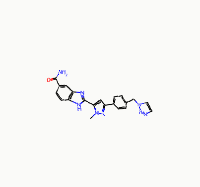 Cn1nc(-c2ccc(Cn3ccnn3)cc2)cc1-c1nc2cc(C(N)=O)ccc2[nH]1